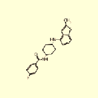 Cc1cc2c(N[C@H]3CC[C@@H](NC(=O)c4ccc(F)cc4)CC3)cccc2s1